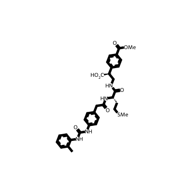 COC(=O)c1ccc([C@@H](CNC(=O)[C@H](CCSC)NC(=O)Cc2ccc(NC(=O)Nc3ccccc3C)cc2)C(=O)O)cc1